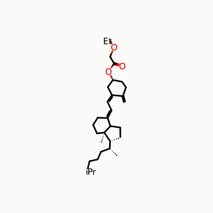 C=C1CC[C@H](OC(=O)COCC)C/C1=C/C=C1\CCC[C@@]2(C)C1CC[C@@H]2[C@H](C)CCCC(C)C